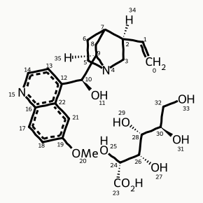 C=C[C@H]1CN2CCC1C[C@@H]2[C@@H](O)c1ccnc2ccc(OC)cc12.O=C(O)[C@H](O)[C@@H](O)[C@H](O)[C@H](O)CO